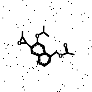 CC(=O)OCc1ccnc2cc([C@H]3OC3C)c(OC(C)C)cc12